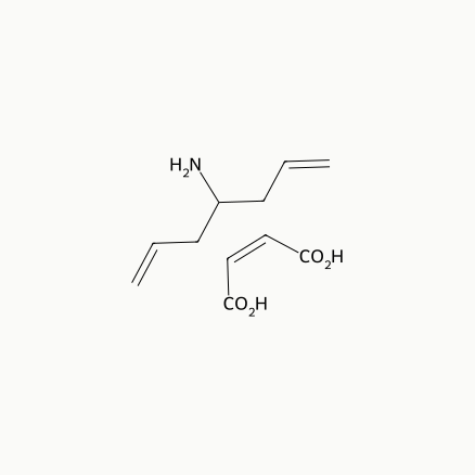 C=CCC(N)CC=C.O=C(O)/C=C\C(=O)O